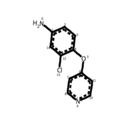 Nc1ccc(Oc2c[c]ncc2)c(Cl)c1